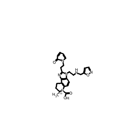 C[C@H]1CCc2c(ccc3c2nc(CCn2ccccc2=O)n3CCNCc2ccno2)N1C(=O)O